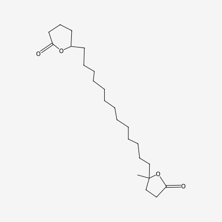 CC1(CCCCCCCCCCCCCC2CCCC(=O)O2)CCC(=O)O1